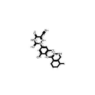 CC1CCCC2=C1CNN=C2Oc1c(Cl)cc(-n2nc(C#N)c(=O)[nH]c2=O)cc1Cl